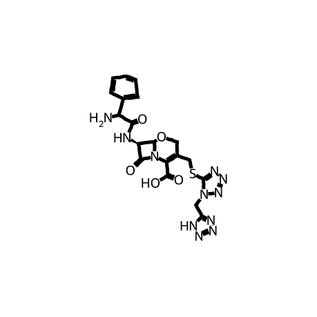 NC(C(=O)N[C@@H]1C(=O)N2C(C(=O)O)=C(CSc3nnnn3Cc3nnn[nH]3)COC12)c1ccccc1